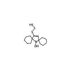 ON1C2(C=C(SSS)C13CCCCC3)CCCCC2